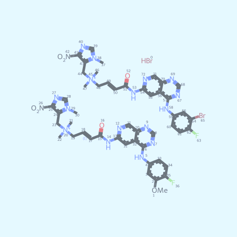 Br.COc1cc(Nc2ncnc3cnc(NC(=O)/C=C/C[N+](C)(C)Cc4c([N+](=O)[O-])ncn4C)cc23)ccc1F.Cn1cnc([N+](=O)[O-])c1C[N+](C)(C)CC=CC(=O)Nc1cc2c(Nc3ccc(F)c(Br)c3)ncnc2cn1